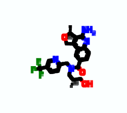 C[C@@H](CO)CN(Cc1ccc(C(F)(F)F)cn1)C(=O)c1ccc2nc(N)c3c(c2c1)CO[C@H]3C